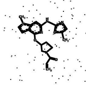 C=CC(=O)N1CCC(Oc2nc(Nc3ncc(C)s3)cc3c2ccn3C)C1